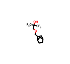 OC(COCC1CC2CCC1C2)(C(F)(F)F)C(F)(F)F